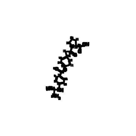 N=C(N)Nc1ccc(C(=O)Oc2ccc(CC(=O)N3CCC[C@H]3C(=O)O)cc2)cc1